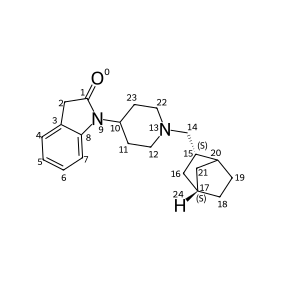 O=C1Cc2ccccc2N1C1CCN(C[C@H]2C[C@H]3CCC2C3)CC1